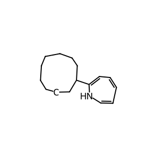 C1=CC=C(C2CCCCCCCCC2)NC=C1